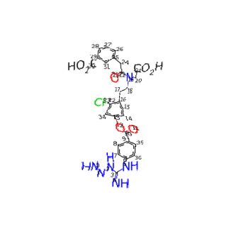 N=NNC(=N)Nc1ccc(C(=O)Oc2ccc(CCN(CC(=O)O)C(=O)Cc3cccc(C(=O)O)c3)c(Cl)c2)cc1